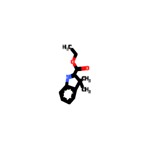 CCOC(=O)C1=Nc2ccccc2C1(C)C